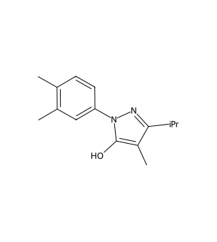 Cc1ccc(-n2nc(C(C)C)c(C)c2O)cc1C